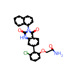 NC(=O)COc1cccc(Cl)c1-c1ccc2c(=O)n(-c3cccc4ccccc34)c(=O)[nH]c2c1